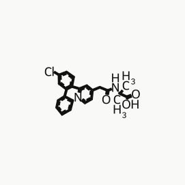 CC(C)(NC(=O)Cc1ccnc(-c2ccc(Cl)cc2-c2ccccc2)c1)C(=O)O